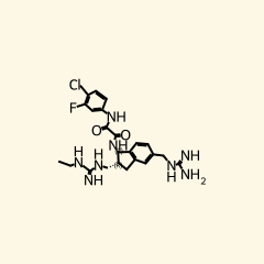 CCNC(=N)NC[C@H]1Cc2cc(CNC(=N)N)ccc2[C@@H]1NC(=O)C(=O)Nc1ccc(Cl)c(F)c1